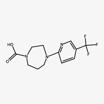 O=C(O)N1CCCN(c2ccc(C(F)(F)F)cn2)CC1